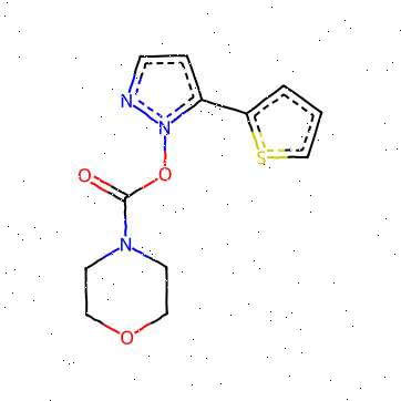 O=C(On1nccc1-c1cccs1)N1CCOCC1